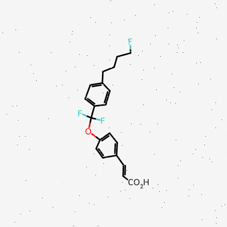 O=C(O)C=Cc1ccc(OC(F)(F)c2ccc(CCCCF)cc2)cc1